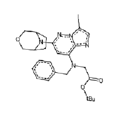 CC(C)(C)OC(=O)CN(Cc1ccccc1)c1cc(N2C3CCC2COC3)nn2c(I)cnc12